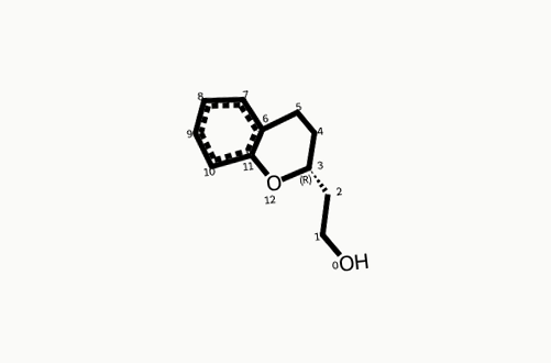 OCC[C@H]1CCc2ccccc2O1